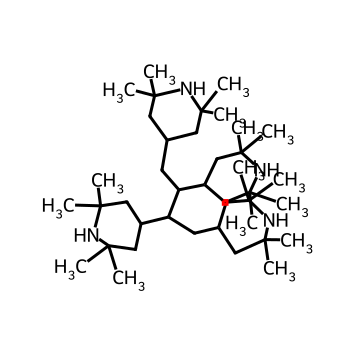 CC1(C)CC(CC(C2CC(C)(C)NC(C)(C)C2)C(CC2CC(C)(C)NC(C)(C)C2)C2CC(C)(C)NC(C)(C)C2)CC(C)(C)N1